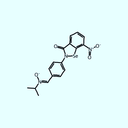 CC(C)[N+]([O-])=Cc1ccc(-n2[se]c3c([N+](=O)[O-])cccc3c2=O)cc1